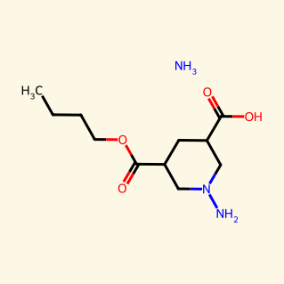 CCCCOC(=O)C1CC(C(=O)O)CN(N)C1.N